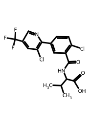 CC(C)C(NC(=O)c1cc(-c2ncc(C(F)(F)F)cc2Cl)ccc1Cl)C(=O)O